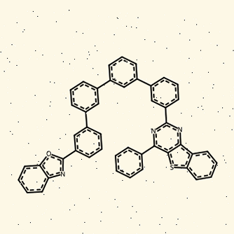 c1ccc(-c2nc(-c3cccc(-c4cccc(-c5cccc(-c6cccc(-c7nc8ccccc8o7)c6)c5)c4)c3)nc3c2sc2ccccc23)cc1